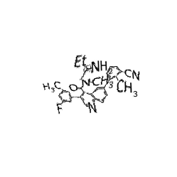 CC[C@H](N)CN(C)C(=O)c1c(-c2cc(C)cc(F)c2)cnc2ccc(-c3cccc(C#N)c3C)cc12